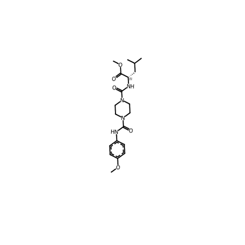 COC(=O)[C@H](CC(C)C)NC(=O)N1CCN(C(=O)Nc2ccc(OC)cc2)CC1